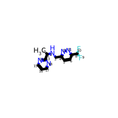 CC(NCc1ccc(C(F)F)nn1)c1ncccn1